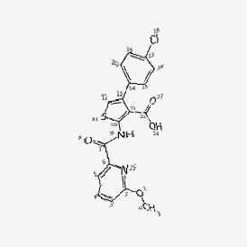 COc1cccc(C(=O)Nc2scc(-c3ccc(Cl)cc3)c2C(=O)O)n1